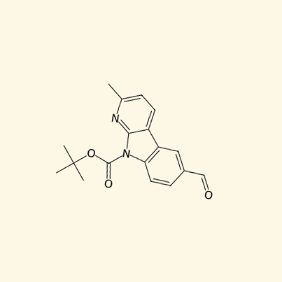 Cc1ccc2c3cc(C=O)ccc3n(C(=O)OC(C)(C)C)c2n1